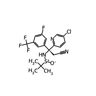 CC(C)(C)[S+]([O-])N[C@](CC#N)(c1cc(F)cc(C(F)(F)F)c1)c1ccc(Cl)cn1